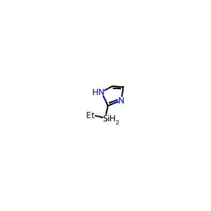 CC[SiH2]c1ncc[nH]1